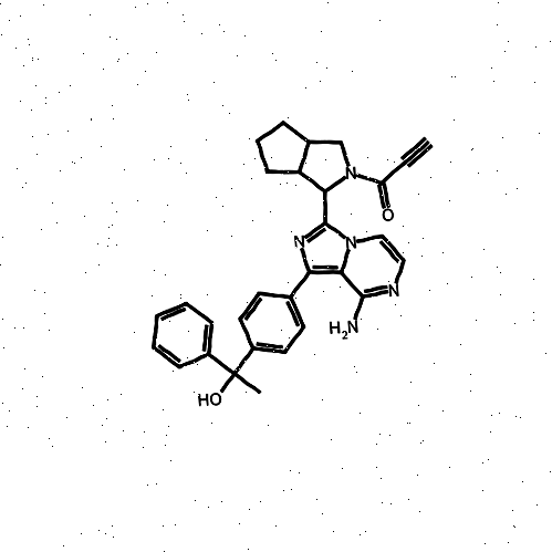 C#CC(=O)N1CC2CCCC2C1c1nc(-c2ccc(C(C)(O)c3ccccc3)cc2)c2c(N)nccn12